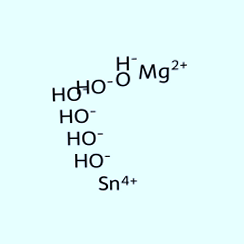 [Mg+2].[OH-].[OH-].[OH-].[OH-].[OH-].[OH-].[Sn+4]